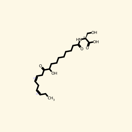 CC/C=C\C/C=C\CC(=O)C(O)CCCCCCCC(=O)N[C@@H](CO)C(=O)O